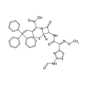 CON=C(C(=O)NC1C(=O)N2C(C(=O)O)=C(C=P(c3ccccc3)(c3ccccc3)c3ccccc3)CS[C@@H]12)c1csc(NC=O)n1